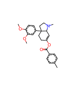 COc1ccc(C23CCC(OC(=O)c4ccc(C)cc4)=CC2N(C)CC3)cc1OC